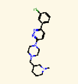 CN1CCCC(CN2CCN(c3ccc(-c4cccc(Cl)c4)nn3)CC2)C1